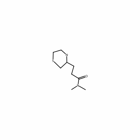 CN(C)C(=O)CCC1CSCC[N]1